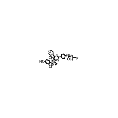 C[C@H]1COCCN1c1cc(C2(S(=O)(=O)c3ccc(C#N)cc3Cl)CC2)nc(-c2ccc(NC(=O)NCCF)cc2)n1